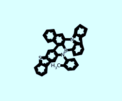 Cc1ccccc1N1B2c3c(cc4ccccc4c3-c3cc4sc5ccccc5c4cc31)-n1c3ccccc3c3cccc2c31